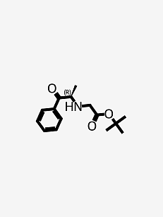 C[C@@H](NCC(=O)OC(C)(C)C)C(=O)c1ccccc1